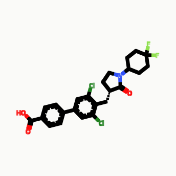 O=C(O)c1ccc(-c2cc(Cl)c(C[C@@H]3CCN(C4CCC(F)(F)CC4)C3=O)c(Cl)c2)cc1